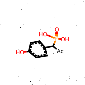 CC(=O)C(c1ccc(O)cc1)P(=O)(O)O